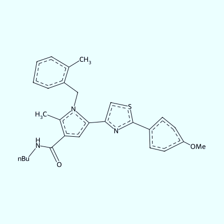 CCCCNC(=O)c1cc(-c2csc(-c3ccc(OC)cc3)n2)n(Cc2ccccc2C)c1C